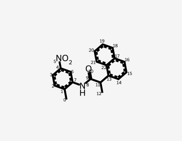 Cc1ccc([N+](=O)[O-])cc1NC(=O)C(C)c1cccc2ccccc12